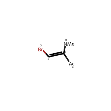 CN/C(=C\Br)C(C)=O